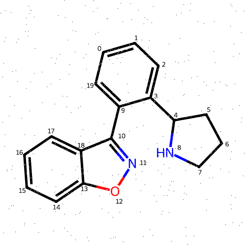 c1ccc(C2CCCN2)c(-c2noc3ccccc23)c1